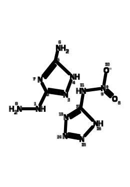 NNc1n[nH]c(N)n1.O=[N+]([O-])Nc1nnn[nH]1